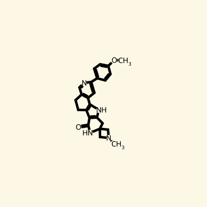 COc1ccc(-c2cc3c(cn2)CCc2c-3[nH]c3c2C(=O)NC2(C3)CN(C)C2)cc1